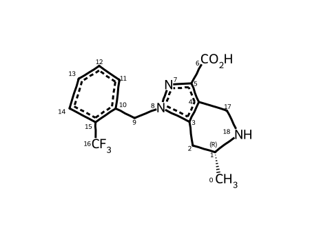 C[C@@H]1Cc2c(c(C(=O)O)nn2Cc2ccccc2C(F)(F)F)CN1